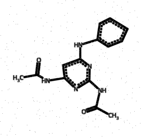 CC(=O)Nc1cc(Nc2ccccc2)nc(NC(C)=O)n1